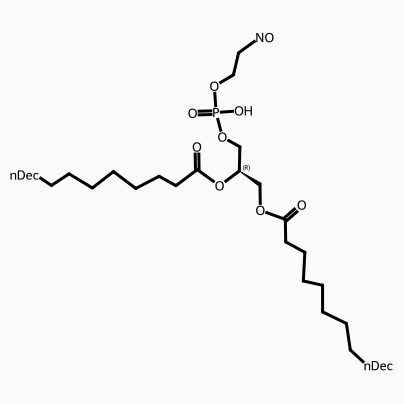 CCCCCCCCCCCCCCCCCC(=O)OC[C@H](COP(=O)(O)OCCN=O)OC(=O)CCCCCCCCCCCCCCCCC